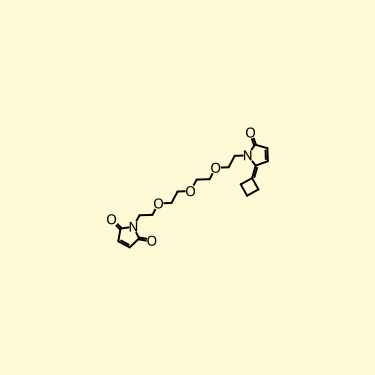 O=C1C=CC(=O)N1CCOCCOCCOCCN1C(=O)C=CC1=C1CCC1